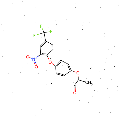 CC(C=O)Oc1ccc(Oc2ccc(C(F)(F)F)cc2[N+](=O)[O-])cc1